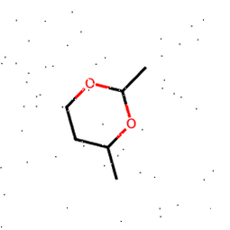 CC1C[CH]OC(C)O1